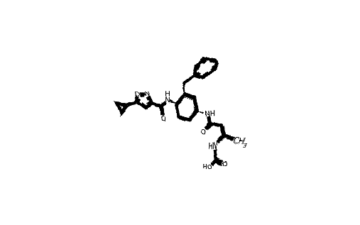 CC(CC(=O)N[C@@H]1CC[C@@H](NC(=O)c2cc(C3CC3)on2)[C@@H](Cc2ccccc2)C1)NC(=O)O